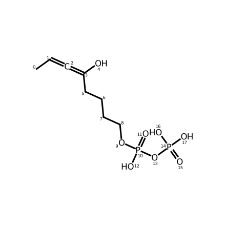 CC=C=C(O)CCCCOP(=O)(O)OP(=O)(O)O